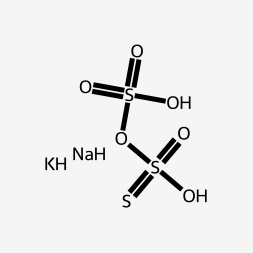 O=S(=O)(O)OS(=O)(O)=S.[KH].[NaH]